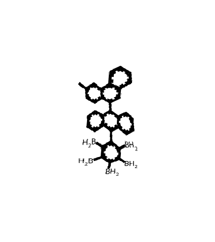 Bc1c(B)c(B)c(-c2c3ccccc3c(-c3cc4ccccc4c4cc(C)ccc34)c3ccccc23)c(B)c1B